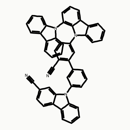 N#Cc1ccc2c3ccccc3n(-c3cccc(-c4cc(-n5c6ccccc6c6cccc(-n7c8ccccc8c8ccccc87)c65)ccc4C#N)c3)c2c1